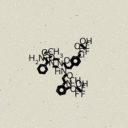 CN1Cc2ccccc2C1CC(=O)NC(Cc1ccc(Cl)cc1)C(=O)N1CCN(C(C2CCCCC2)C(N)S(C)(=O)=O)CC1.O=C(O)C(F)(F)F.O=C(O)C(F)(F)F